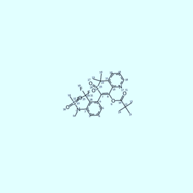 CN(c1cccc(C2=C(OC(=O)C(C)(C)C)c3ncccc3C(C)(C)S2(=O)=O)c1C(F)(F)F)S(C)(=O)=O